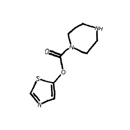 O=C(Oc1cncs1)N1CCNCC1